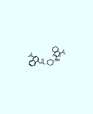 CN(C)c1nc(N[C@H]2CC[C@@H](CNCc3ccc(N(C)C)c4ccccc34)CC2)nc2c1CCCC2